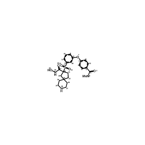 CNC(=O)c1ccc(Oc2cccc(S(=O)(=O)C3(C(=O)NO)CCC4(CCNCC4)C3)c2)cc1